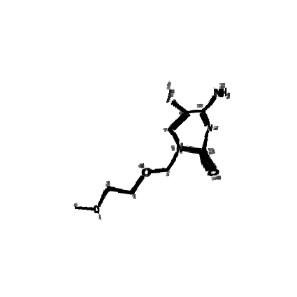 COCCOCn1cc(F)c(N)nc1=O